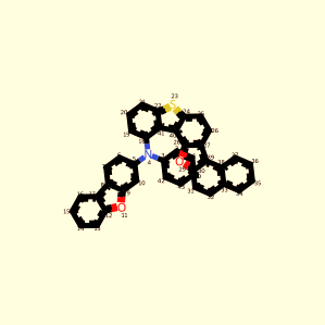 c1ccc(N(c2ccc3c(c2)oc2ccccc23)c2cccc3sc4ccc5c(oc6ccc7ccccc7c65)c4c23)cc1